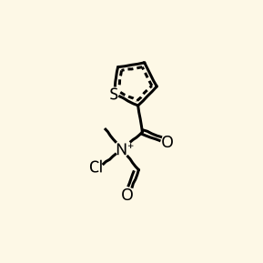 C[N+](Cl)(C=O)C(=O)c1cccs1